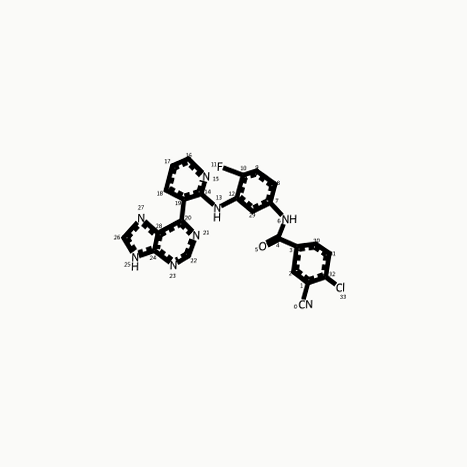 N#Cc1cc(C(=O)Nc2ccc(F)c(Nc3ncccc3-c3ncnc4[nH]cnc34)c2)ccc1Cl